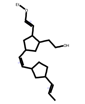 C/C=C/C1CCC(/C=C\C2CC(/C=C/OCC)C(CCO)C2)C1